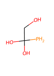 OCC(O)(O)P